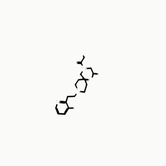 CCC(=O)N1CC(C)OC2(CCN(CCc3ncccc3F)CC2)C1